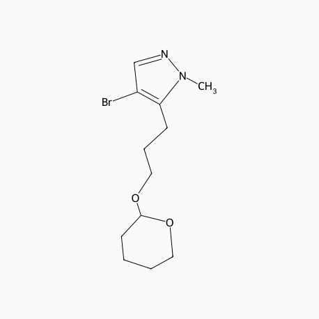 Cn1ncc(Br)c1CCCOC1CCCCO1